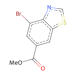 COC(=O)c1cc(Br)c2ncsc2c1